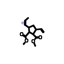 C=CC1CC(/C=C\C)C(C(=O)OC)C1C(=O)OC